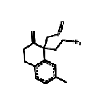 C=C1CCc2ccc(C)cc2C1(CCN)CP=O